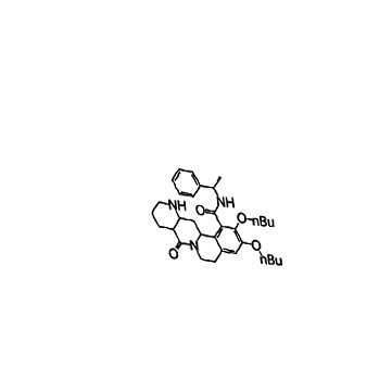 CCCCOc1cc2c(c(C(=O)N[C@H](C)c3ccccc3)c1OCCCC)C1CC3NCCCC3C(=O)N1CC2